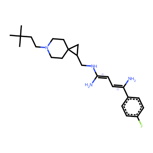 CC(C)(C)CCN1CCC2(CC1)CC2CN/C(N)=C/C=C(\N)c1ccc(F)cc1